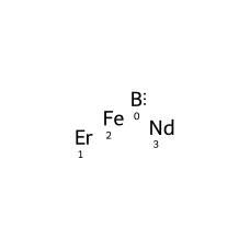 [B].[Er].[Fe].[Nd]